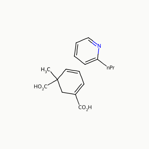 CC1(C(=O)O)C=CC=C(C(=O)O)C1.CCCc1ccccn1